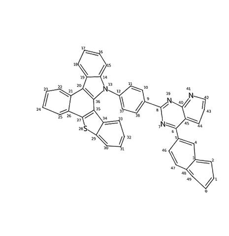 c1ccc2cc(-c3nc(-c4ccc(-n5c6ccccc6c6c7ccccc7c7sc8ccccc8c7c65)cc4)nc4ncccc34)ccc2c1